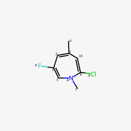 CC1=CC(F)=CN(C)C(Cl)=C1